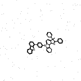 CC1(C2C=CC=CC2)C2=CC=C3C(C4=C(C=CCC4)N3c3ccc(-c4cccc5c4sc4ccccc45)cc3)C2N=C1c1ccccc1